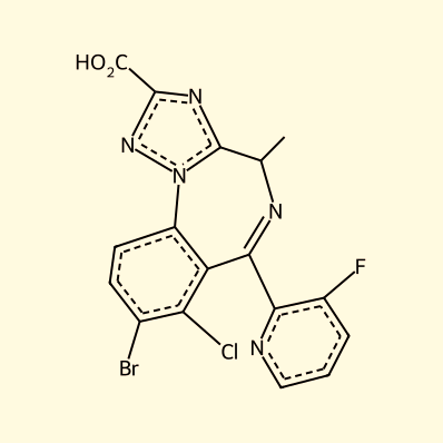 CC1N=C(c2ncccc2F)c2c(ccc(Br)c2Cl)-n2nc(C(=O)O)nc21